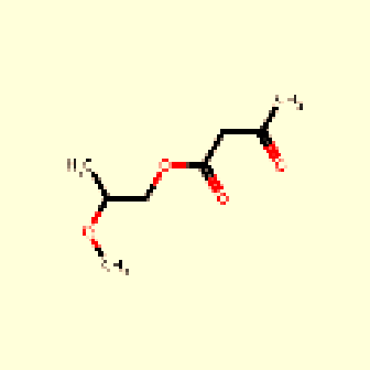 COC(C)COC(=O)CC(C)=O